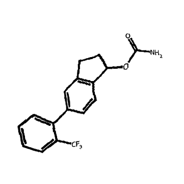 NC(=O)OC1CCc2cc(-c3ccccc3C(F)(F)F)ccc21